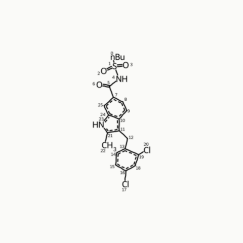 CCCCS(=O)(=O)NC(=O)c1ccc2c(Cc3ccc(Cl)cc3Cl)c(C)[nH]c2c1